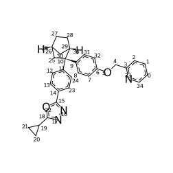 c1ccc(COc2ccc([C@@]3(c4ccc(-c5nnc(C6CC6)o5)cc4)C[C@@H]4CC[C@H]3C4)cc2)nc1